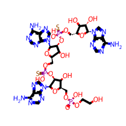 Nc1ncnc2c1ncn2[C@@H]1O[C@H](COP(O)(=S)O[C@H]2C(O)[C@@H](COP(O)(=S)O[C@H]3C(O)[C@@H](COP(=O)(O)OCCO)O[C@H]3n3cnc4c(N)ncnc43)O[C@H]2n2cnc3c(N)ncnc32)C(O)[C@@H]1O